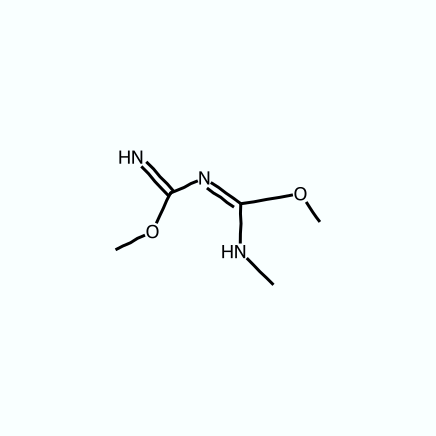 CN/C(=N\C(=N)OC)OC